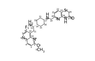 COc1ccc2ncc(F)c(CC(N)[C@H]3CC[C@@H](NCc4ccc5c(n4)NC(=O)CS5)CC3)c2n1